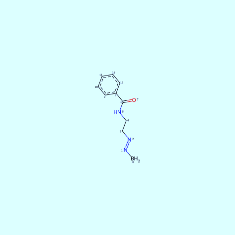 BN=NCCNC(=O)c1ccccc1